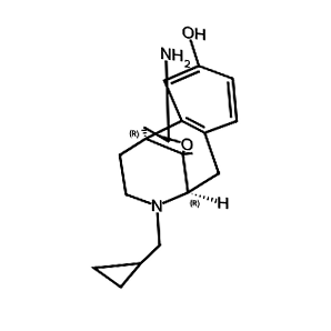 CC12OCC(N)C[C@@]13CCN(CC1CC1)[C@@H]2Cc1ccc(O)cc13